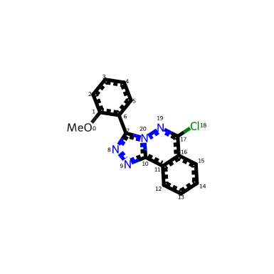 COc1ccccc1-c1nnc2c3ccccc3c(Cl)nn12